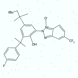 CC(C)(C)CC(C)(C)c1cc(-n2nc3cc(C(F)(F)F)ccc3[n+]2[O-])c(O)c(C(C)(C)c2ccc(F)cc2)c1